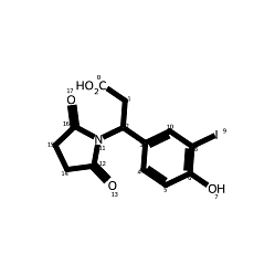 O=C(O)CC(c1ccc(O)c(I)c1)N1C(=O)CCC1=O